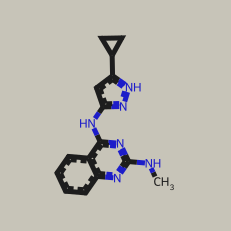 CNc1nc(Nc2cc(C3CC3)[nH]n2)c2ccccc2n1